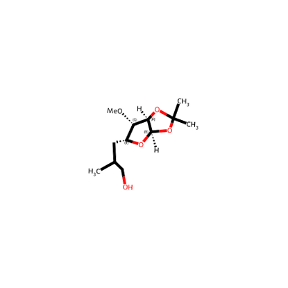 CO[C@@H]1[C@H]2OC(C)(C)O[C@H]2O[C@@H]1CC(C)CO